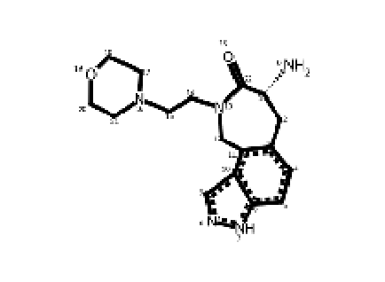 N[C@@H]1Cc2ccc3[nH]ncc3c2CN(CCN2CCOCC2)C1=O